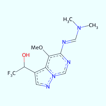 COc1c(N=CN(C)C)ncn2ncc(C(O)C(F)(F)F)c12